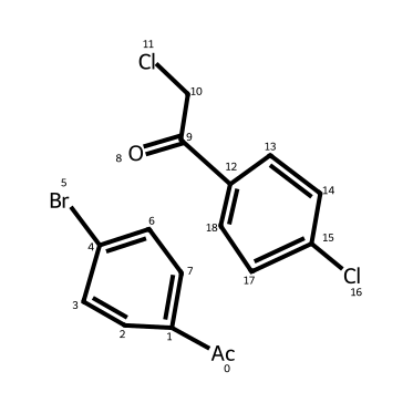 CC(=O)c1ccc(Br)cc1.O=C(CCl)c1ccc(Cl)cc1